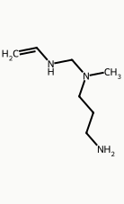 C=CNCN(C)CCCN